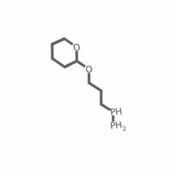 PPCCCOC1CCCCO1